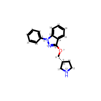 c1ccc(-n2nc(OC[C@@H]3CCNC3)c3ccccc32)cc1